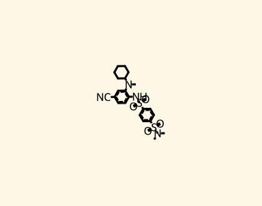 CN(c1cc(C#N)ccc1NS(=O)(=O)c1ccc(S(=O)(=O)N(C)C)cc1)C1CCCCC1